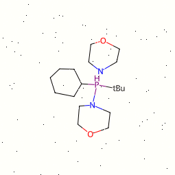 CC(C)(C)[PH](C1CCCCC1)(N1CCOCC1)N1CCOCC1